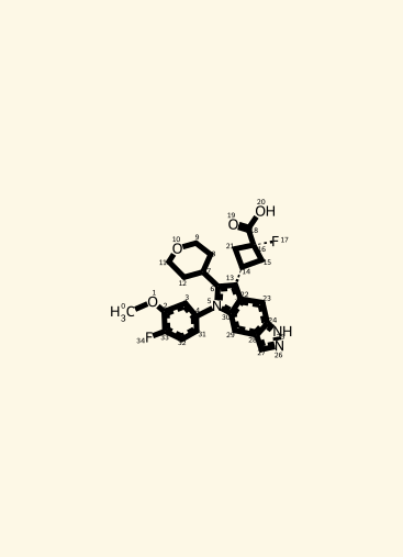 COc1cc(-n2c(C3CCOCC3)c([C@H]3C[C@](F)(C(=O)O)C3)c3cc4[nH]ncc4cc32)ccc1F